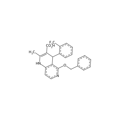 CC1=C(C(=O)O)C(c2ccccc2C(F)(F)F)c2c(ccnc2OCc2ccccc2)N1